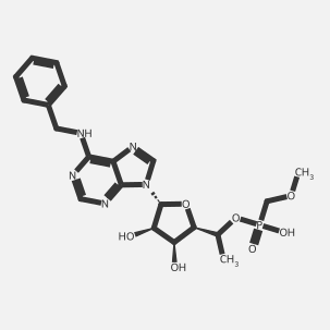 COCP(=O)(O)OC(C)[C@@H]1O[C@@H](n2cnc3c(NCc4ccccc4)ncnc32)[C@H](O)[C@@H]1O